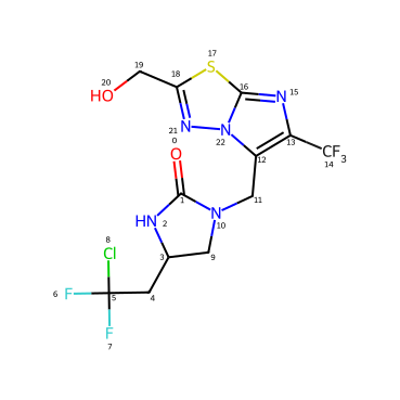 O=C1NC(CC(F)(F)Cl)CN1Cc1c(C(F)(F)F)nc2sc(CO)nn12